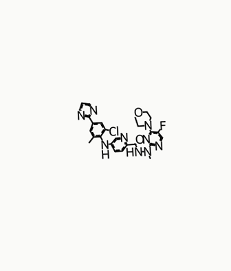 Cc1cc(-c2ncccn2)cc(Cl)c1Nc1ccc(C(=O)NN(C)c2ncc(F)c(N3CCOCC3)n2)nc1